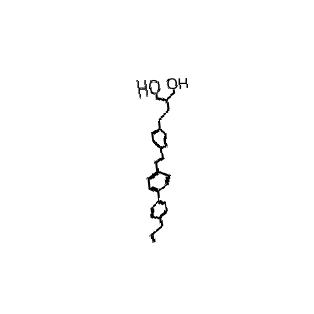 CCCc1ccc(-c2ccc(CCc3ccc(CCC(CO)CO)cc3)cc2)cc1